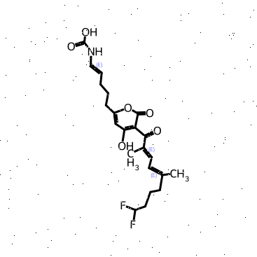 C/C(=C\C=C(/C)C(=O)c1c(O)cc(CCC/C=C/NC(=O)O)oc1=O)CCCC(F)F